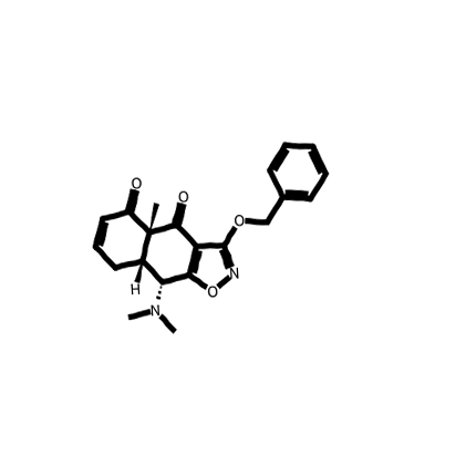 CN(C)[C@H]1c2onc(OCc3ccccc3)c2C(=O)[C@@]2(C)C(=O)C=CC[C@@H]12